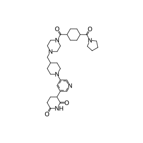 O=C1CCC(c2cncc(N3CCC(CN4CCN(C(=O)C5CCC(C(=O)N6CCCC6)CC5)CC4)CC3)c2)C(=O)N1